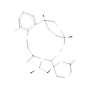 C[C@@H]1C[C@@]2(COCC(=O)N2)[C@@H]2CO[C@H]3CC[C@H](CC3)c3cccc(F)c3OCC(=O)N12